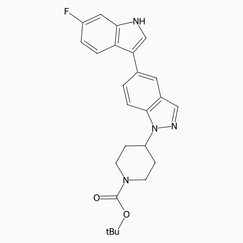 CC(C)(C)OC(=O)N1CCC(n2ncc3cc(-c4c[nH]c5cc(F)ccc45)ccc32)CC1